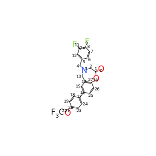 O=C1CN(Cc2ccc(F)c(F)c2)Cc2cc(-c3ccc(OC(F)(F)F)cc3)ccc2O1